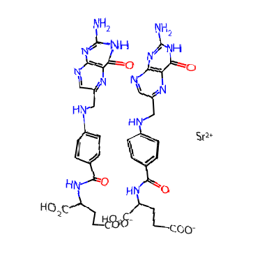 Nc1nc2ncc(CNc3ccc(C(=O)NC(CCC(=O)[O-])C(=O)O)cc3)nc2c(=O)[nH]1.Nc1nc2ncc(CNc3ccc(C(=O)NC(CCC(=O)[O-])C(=O)O)cc3)nc2c(=O)[nH]1.[Sr+2]